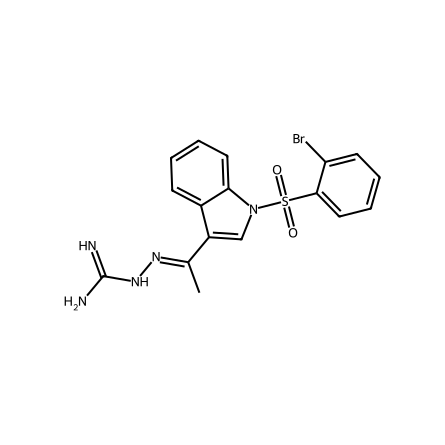 CC(=NNC(=N)N)c1cn(S(=O)(=O)c2ccccc2Br)c2ccccc12